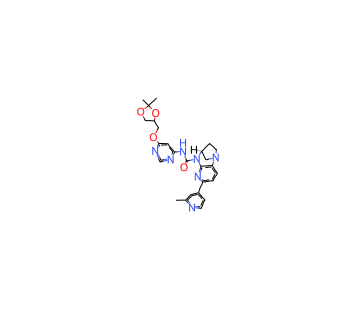 Cc1cc(-c2ccc3c(n2)N(C(=O)Nc2cc(OCC4COC(C)(C)O4)ncn2)[C@H]2CCN3C2)ccn1